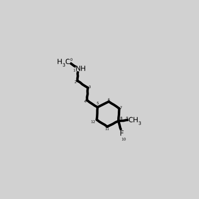 CNCCCC1CCC(C)(F)CC1